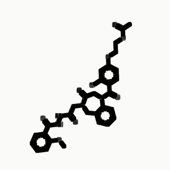 COc1ccccc1C(=O)NNC(=O)CN1Cc2ccccc2N(C(=O)c2ccc(OCCOC(C)=O)cc2Cl)CC1=O